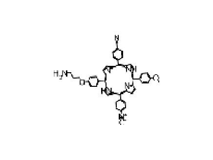 [C-]#[N+]c1ccc(-c2c3nc(c(-c4ccc(OC)cc4)c4ccc([nH]4)c(-c4ccc(C#N)cc4)c4nc(c(-c5ccc(OCCCN)cc5)c5ccc2[nH]5)C=C4)C=C3)cc1